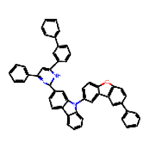 C1=C(c2cccc(-c3ccccc3)c2)NC(c2ccc3c4ccccc4n(-c4ccc5oc6ccc(-c7ccccc7)cc6c5c4)c3c2)N=C1c1ccccc1